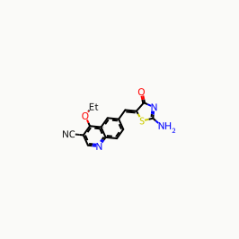 CCOc1c(C#N)cnc2ccc(/C=C3\SC(N)=NC3=O)cc12